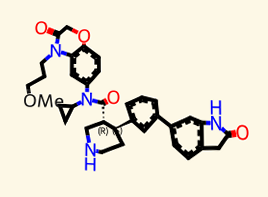 COCCCN1C(=O)COc2ccc(N(C(=O)[C@H]3CNCC[C@@H]3c3cccc(-c4ccc5c(c4)NC(=O)C5)c3)C3CC3)cc21